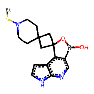 CCSN1CCC2(CC1)CC1(C2)OB(O)c2cnc3[nH]ccc3c21